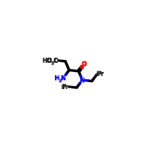 CC(C)CN(CC(C)C)C(=O)C(N)CC(=O)O